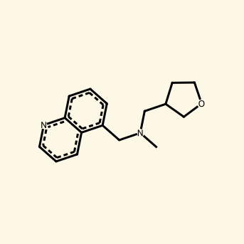 CN(Cc1cccc2ncccc12)CC1CCOC1